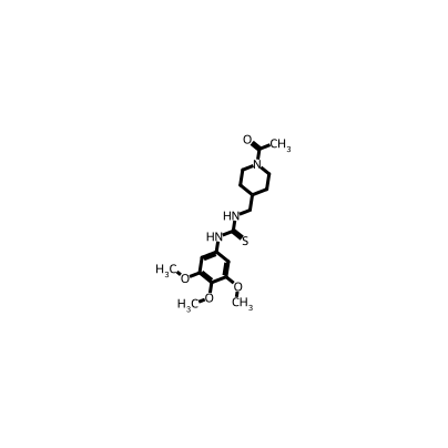 COc1cc(NC(=S)NCC2CCN(C(C)=O)CC2)cc(OC)c1OC